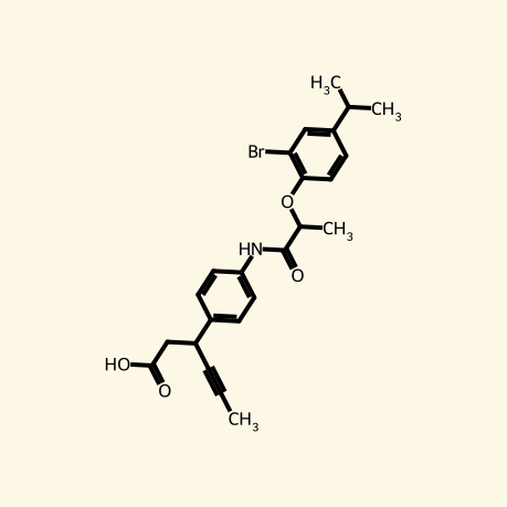 CC#CC(CC(=O)O)c1ccc(NC(=O)C(C)Oc2ccc(C(C)C)cc2Br)cc1